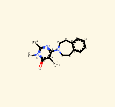 CCc1nc(N2CCc3ccccc3CC2)c([N+](=O)[O-])c(=O)n1CC